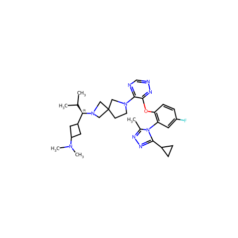 Cc1nnc(C2CC2)n1-c1cc(F)ccc1Oc1nncnc1N1CCC2(C1)CN([C@H](C(C)C)C1CC(N(C)C)C1)C2